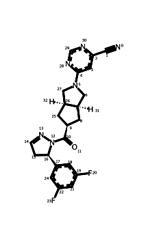 N#Cc1cc(N2C[C@H]3C[C@@H](C(=O)N4N=CC[C@@H]4c4cc(F)cc(F)c4)C[C@H]3C2)ncn1